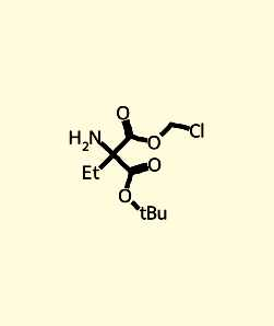 CCC(N)(C(=O)OCCl)C(=O)OC(C)(C)C